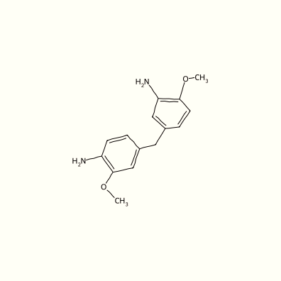 COc1ccc(Cc2ccc(N)c(OC)c2)cc1N